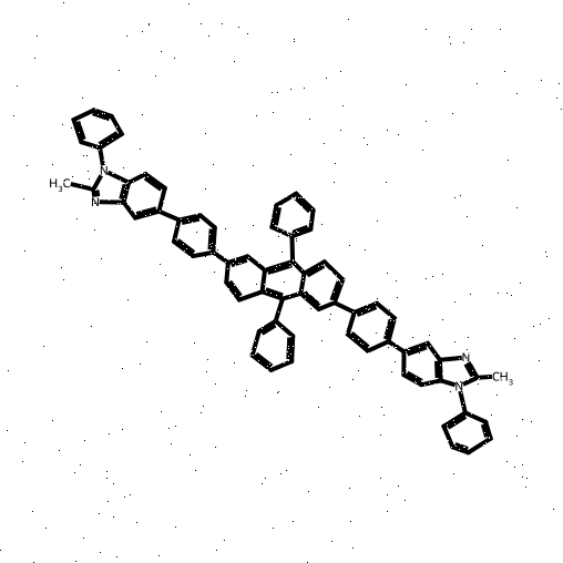 Cc1nc2cc(-c3ccc(-c4ccc5c(-c6ccccc6)c6cc(-c7ccc(-c8ccc9c(c8)nc(C)n9-c8ccccc8)cc7)ccc6c(-c6ccccc6)c5c4)cc3)ccc2n1-c1ccccc1